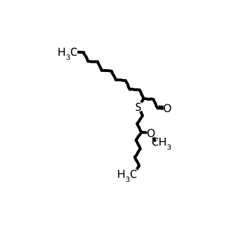 CCCCCCCCCCC(CC=O)SCCC(CCCCC)OC